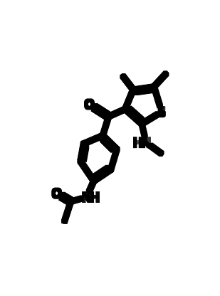 CNc1sc(C)c(C)c1C(=O)c1ccc(NC(C)=O)cc1